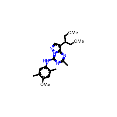 COCC(COC)c1cnn2c(Nc3cc(C)c(OC)cc3C)nc(C)nc12